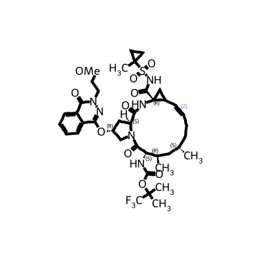 COCCn1nc(O[C@@H]2C[C@H]3C(=O)N[C@]4(C(=O)NS(=O)(=O)C5(C)CC5)CC4/C=C\CC[C@H](C)C[C@@H](C)[C@H](NC(=O)OC(C)(C)C(F)(F)F)C(=O)N3C2)c2ccccc2c1=O